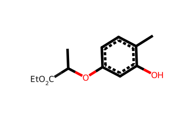 CCOC(=O)C(C)Oc1ccc(C)c(O)c1